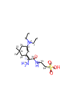 CCN(CC)C1=C/C(=C(/N)C(=O)NCCS(=O)(=O)O)CC(C)(C)C1